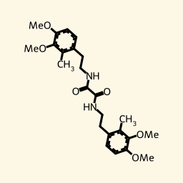 COc1ccc(CCNC(=O)C(=O)NCCc2ccc(OC)c(OC)c2C)c(C)c1OC